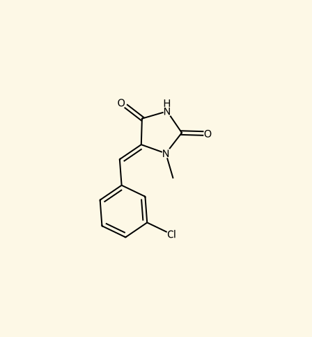 CN1C(=O)NC(=O)C1=Cc1cccc(Cl)c1